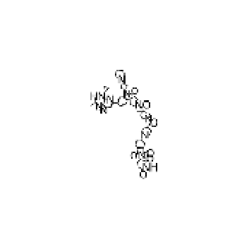 CC(C)n1cnc2cc(-c3ccc4c(c3)N(C3CC(N5CCCCC5)C3)C(=O)C43CCN(C(=O)C4(C)CCN(C(=O)C5CCN(c6ccc7c(c6)C(=O)N(C6CCC(=O)NC6=O)C7=O)CC5)CC4)CC3)nc(NC3CC3)c21